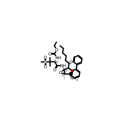 CCCCCC(=O)[C](c1ccccc1-c1ccccc1)[C@]1(NC(=O)[C@@H](NC(=O)OCC)C(C)(C)S(C)(=O)=O)O[C@]1(C)C(N)=O